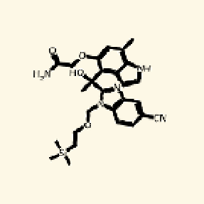 Cc1cc(OCC(N)=O)c(C(C)(O)c2nc3cc(C#N)ccc3n2COCC[Si](C)(C)C)c2cc[nH]c12